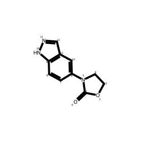 O=C1OCCN1c1ccc2[nH]ncc2c1